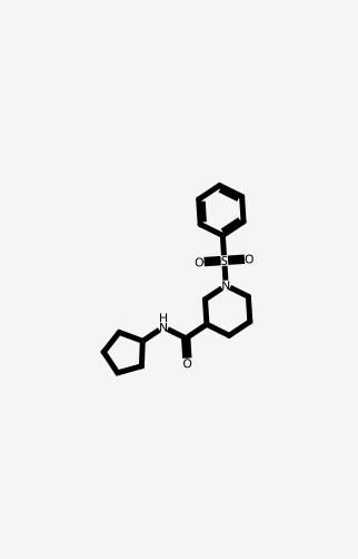 O=C(NC1CCCC1)C1CCCN(S(=O)(=O)c2ccccc2)C1